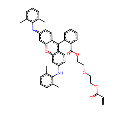 C=CC(=O)OCCOCCOC(=O)c1ccccc1-c1c2cc/c(=N\c3c(C)cccc3C)cc-2oc2cc(Nc3c(C)cccc3C)ccc12